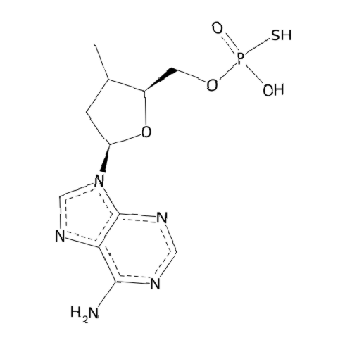 CC1C[C@H](n2cnc3c(N)ncnc32)O[C@@H]1COP(=O)(O)S